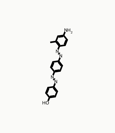 Cc1cc(N)ccc1/N=N/c1ccc(/N=N/c2ccc(O)cc2)cc1